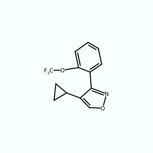 FC(F)(F)Oc1ccccc1-c1nocc1C1CC1